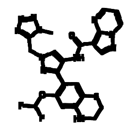 Cn1nnnc1Cn1cc(NC(=O)c2cnn3cccnc23)c(-c2cc3c(cc2OC(F)F)NCCS3)n1